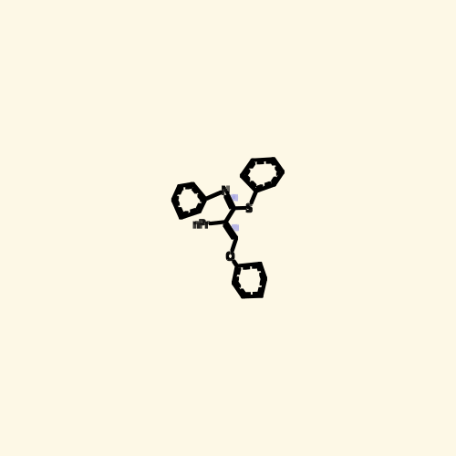 CCCC(=C\Oc1ccccc1)/C(=N\c1ccccc1)Sc1ccccc1